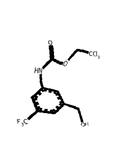 O=C(Nc1cc(CO)cc(C(F)(F)F)c1)OCC(Cl)(Cl)Cl